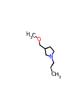 CCCN1CCC(COC)C1